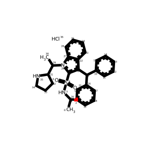 CC(C)NS(=O)(=O)c1c(C(c2ccccc2)c2ccccc2)c2ccccc2n1C(C)C1CCCN1.Cl